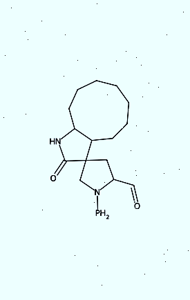 O=CC1CC2(CN1P)C(=O)NC1CCCCCCCC12